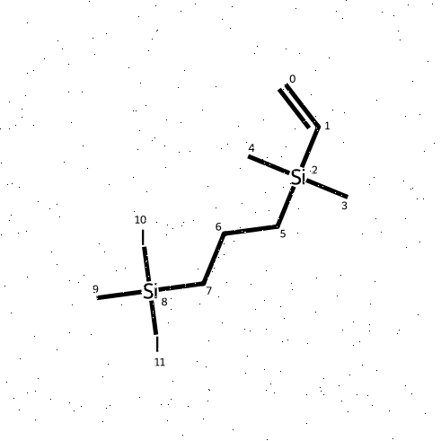 C=C[Si](C)(C)CCC[Si](C)(I)I